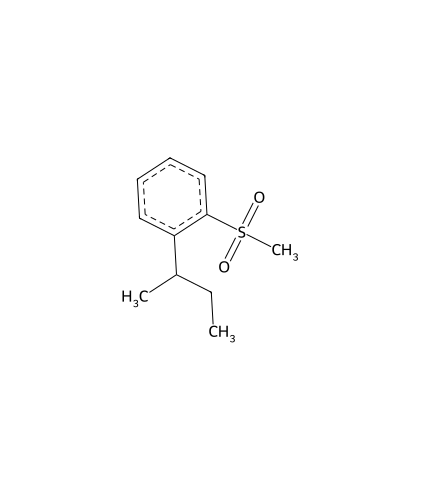 CCC(C)c1ccccc1S(C)(=O)=O